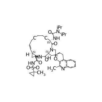 Cc1nc2ccccc2c2c1O[C@]1(CC2)C[C@H]2C(=O)N[C@]3(C(=O)NS(=O)(=O)C4(C)CC4)C[C@H]3C=CCCCCC[C@H](NC(=O)N(C(C)C)C(C)C)C(=O)N2C1